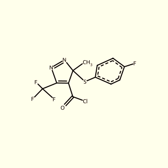 CC1(Sc2ccc(F)cc2)N=NC(C(F)(F)F)=C1C(=O)Cl